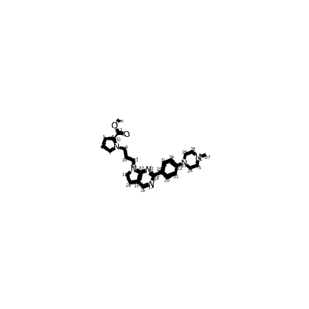 COC(=O)[C@@H]1CCCN1CCCN1CCc2cnc(-c3ccc(N4CCN(C)CC4)cc3)nc21